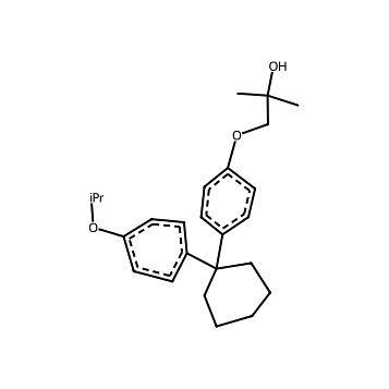 CC(C)Oc1ccc(C2(c3ccc(OCC(C)(C)O)cc3)CCCCC2)cc1